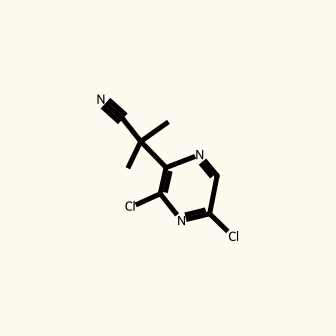 CC(C)(C#N)c1ncc(Cl)nc1Cl